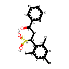 Cc1cc(C)c(C(CC(=O)c2ccccc2)[SH](=O)=O)c(C)c1